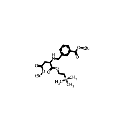 CC(C)(C)OC(=O)CC(NCc1cccc(C(=O)OC(C)(C)C)c1)C(=O)OCC[Si](C)(C)C